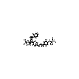 CN(C)C(=O)Cc1ccc(OCCN2CCC(N(C(=O)OC(C)(C)C)[C@@H]3C[C@H]3c3ccccc3)CC2)cc1